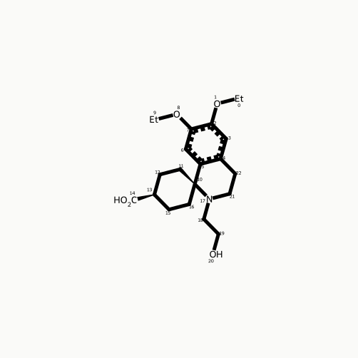 CCOc1cc2c(cc1OCC)[C@]1(CC[C@H](C(=O)O)CC1)N(CCO)CC2